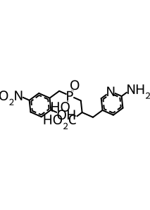 Nc1ccc(CC(CP(=O)(O)Cc2cc([N+](=O)[O-])ccc2O)C(=O)O)cn1